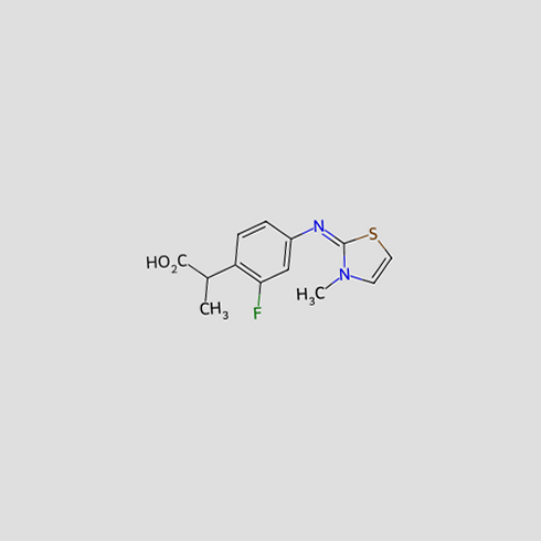 CC(C(=O)O)c1ccc(N=c2sccn2C)cc1F